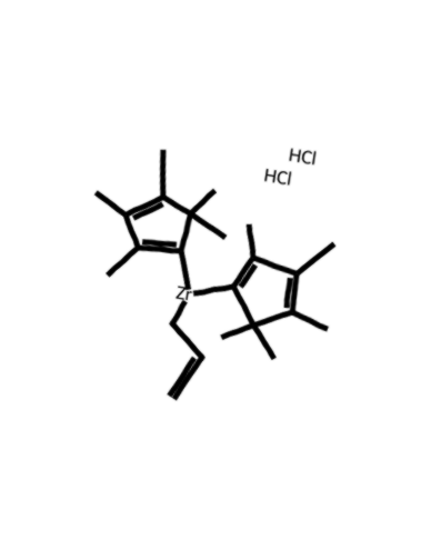 C=C[CH2][Zr]([C]1=C(C)C(C)=C(C)C1(C)C)[C]1=C(C)C(C)=C(C)C1(C)C.Cl.Cl